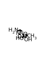 CC1OC(n2ccc(N)nc2=O)C(O)C1O